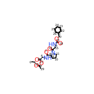 CCO[C@@H](CNC(=O)[C@@H]1CCCN1C(=O)CNC(=O)OCc1ccccc1)OC(C)=O